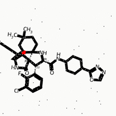 CC1(C)CCC2(CC1)N[C@@H](C(=O)NC1CCC(c3nnco3)CC1)[C@H](c1cccc(Cl)c1F)[C@]21C(=O)Nc2cc(Cl)ccc21